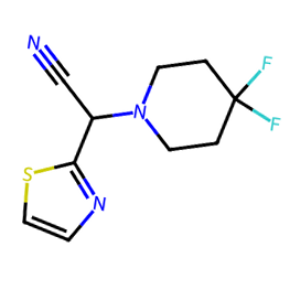 N#CC(c1nccs1)N1CCC(F)(F)CC1